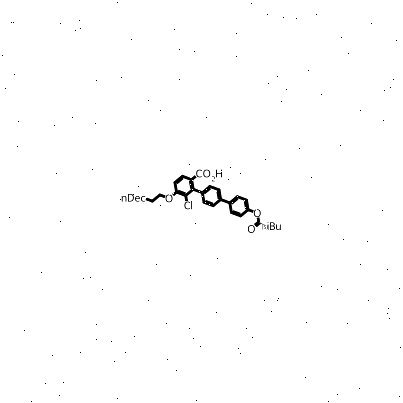 CCCCCCCCCCCCOc1ccc(C(=O)O)c(-c2ccc(-c3ccc(OC(=O)[C@@H](C)CC)cc3)cc2)c1Cl